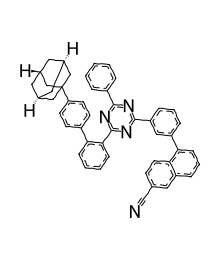 N#Cc1ccc2c(-c3cccc(-c4nc(-c5ccccc5)nc(-c5ccccc5-c5ccc(C67C[C@H]8C[C@@H](C6)C[C@@H](C7)C8)cc5)n4)c3)cccc2c1